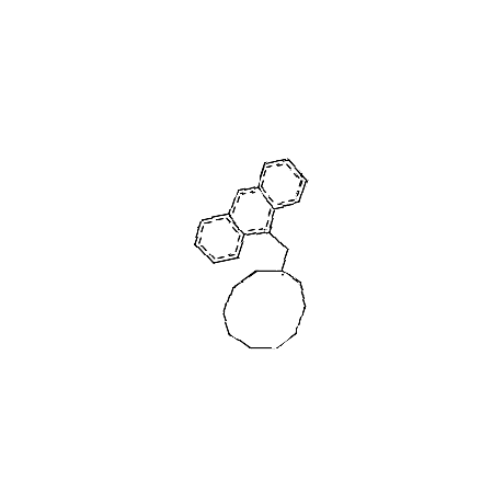 c1ccc2c(C[C]3CCCCCCCCC3)c3ccccc3cc2c1